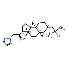 CCC(C)(O)C[C@@H]1CC[C@@H]2[C@H](CC[C@]3(C)[C@@H](C(=O)Cn4cccn4)CC[C@@H]23)[C@H]1C